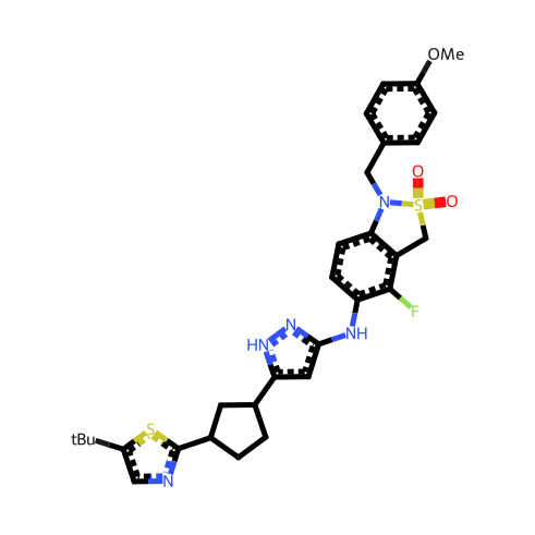 COc1ccc(CN2c3ccc(Nc4cc(C5CCC(c6ncc(C(C)(C)C)s6)C5)[nH]n4)c(F)c3CS2(=O)=O)cc1